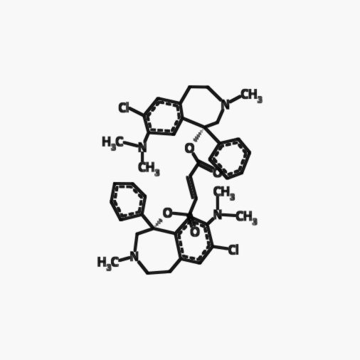 CN1CCc2cc(Cl)c(N(C)C)cc2[C@](OC(=O)/C=C/C(=O)O[C@@]2(c3ccccc3)CN(C)CCc3cc(Cl)c(N(C)C)cc32)(c2ccccc2)C1